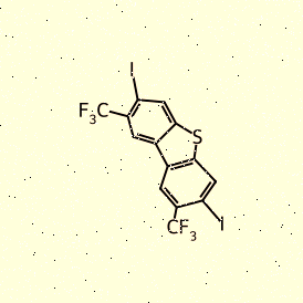 FC(F)(F)c1cc2c(cc1I)sc1cc(I)c(C(F)(F)F)cc12